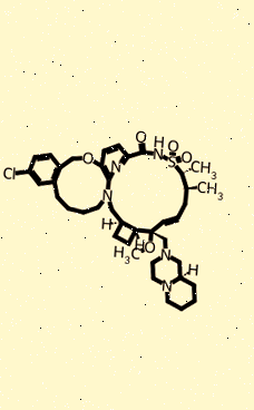 CO[C@@]1(CN2CCN3CCCC[C@@H]3C2)/C=C/C[C@H](C)[C@@H](C)S(=O)(=O)NC(=O)c2ccc3c(n2)N(CCCCc2cc(Cl)ccc2CO3)C[C@@H]2CC[C@H]21